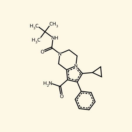 CC(C)(C)NC(=O)N1CCn2c(c(C(N)=O)c(-c3ccccc3)c2C2CC2)C1